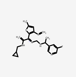 C=Nc1cc(C)sc1/C(=N\CNC(C)c1cncc(F)c1)C(=C)NCC1CC1